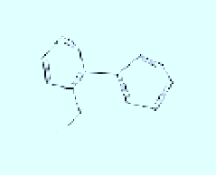 OCc1ccc[c]c1-c1ccccc1